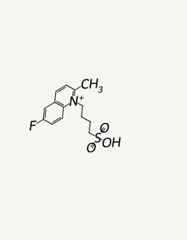 Cc1ccc2cc(F)ccc2[n+]1CCCCS(=O)(=O)O